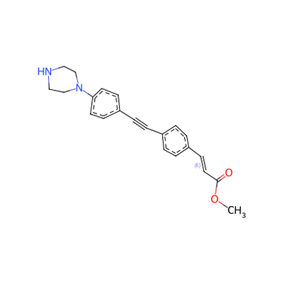 COC(=O)/C=C/c1ccc(C#Cc2ccc(N3CCNCC3)cc2)cc1